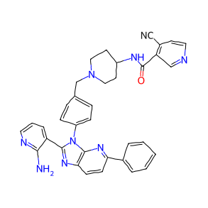 N#Cc1ccncc1C(=O)NC1CCN(Cc2ccc(-n3c(-c4cccnc4N)nc4ccc(-c5ccccc5)nc43)cc2)CC1